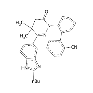 CCCCc1nc2cc(C3=NN(c4ccccc4-c4ccccc4C#N)C(=O)CC3(C)C)ccc2[nH]1